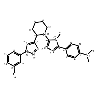 CN(C)c1ccc(-c2nnc(N3CCCCC3c3nnn(-c4cccc(Cl)c4)n3)n2C)cc1